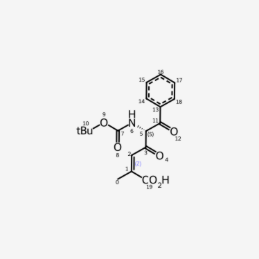 C/C(=C/C(=O)[C@H](NC(=O)OC(C)(C)C)C(=O)c1ccccc1)C(=O)O